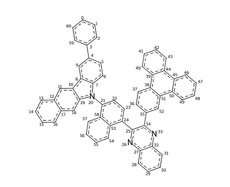 c1ccc(-c2ccc3c(c2)c2cc4ccccc4cc2n3-c2ccc(-c3nc4ccccc4nc3-c3ccc4c5ccccc5c5ccccc5c4c3)c3ccccc23)cc1